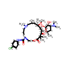 CO[C@]1(C)C[C@@H](C)CN(C)CCCN(C(=O)Nc2ccc(Cl)cc2)CCOC(=O)C(C)(C)C(=O)[C@H](C)[C@H]1O[C@@H]1O[C@H](C)C[C@H](N(C)C)[C@H]1O